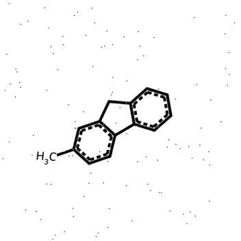 Cc1[c]c2c(cc1)-c1ccccc1C2